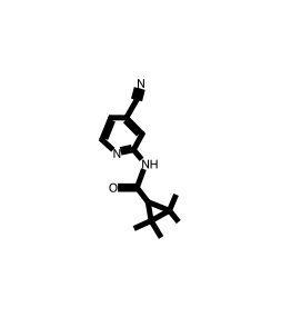 CC1(C)C(C(=O)Nc2cc(C#N)ccn2)C1(C)C